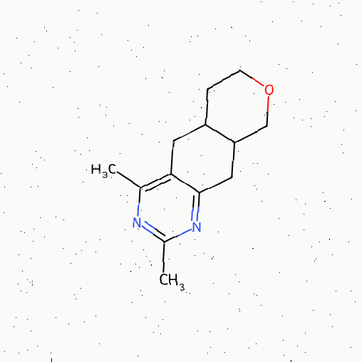 Cc1nc(C)c2c(n1)CC1COCCC1C2